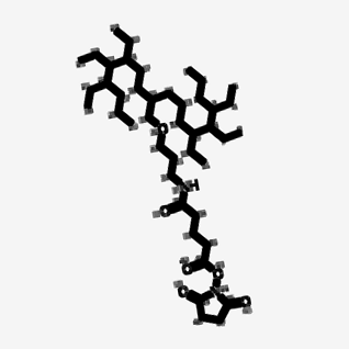 CCCC(CC)C(CC)C(CC)CCCC(CCC(CC)C(CC)C(CC)CCC)COCCCNC(=O)CCCC(=O)ON1C(=O)CCC1=O